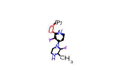 CC(C)Oc1nccc(N2CCNC(C)C2I)c1I